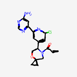 C=CC(=O)N1CC2(CC2)OCC1c1cc(Cl)nc(-c2cc(N)ncn2)c1